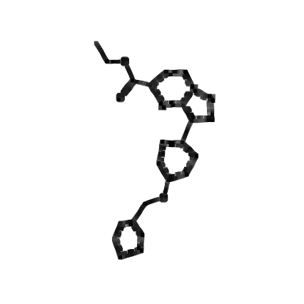 CCOC(=O)c1ccn2ncc(-c3ccc(OCc4ccccc4)cc3)c2n1